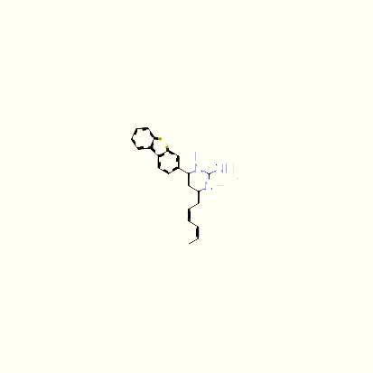 C/C=C\C=C/CC1CC(c2ccc3c(c2)sc2ccccc23)NC(N)N1